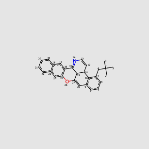 CC(C)(C)Cc1cccc2c1C1C=CN=C3c4cc5ccccc5cc4OC(=C2)C31